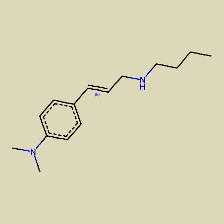 CCCCNC/C=C/c1ccc(N(C)C)cc1